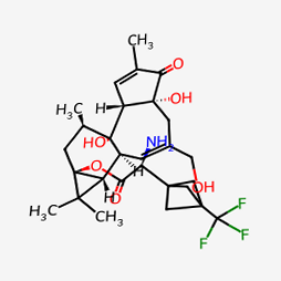 CC1=C[C@H]2[C@@]3(O)[C@H](C)C[C@]4(OC(=O)[C@@H](N)C56CC(C(F)(F)F)(C5)C6)[C@H]([C@@H]3C=C(CO)C[C@]2(O)C1=O)C4(C)C